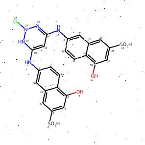 O=S(=O)(O)c1cc(O)c2ccc(NC3=CC(Nc4ccc5c(O)cc(S(=O)(=O)O)cc5c4)=NN(Cl)N3)cc2c1